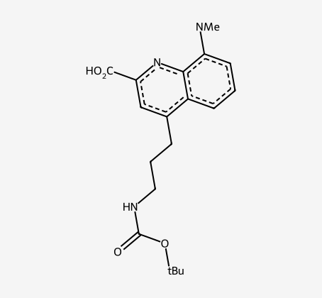 CNc1cccc2c(CCCNC(=O)OC(C)(C)C)cc(C(=O)O)nc12